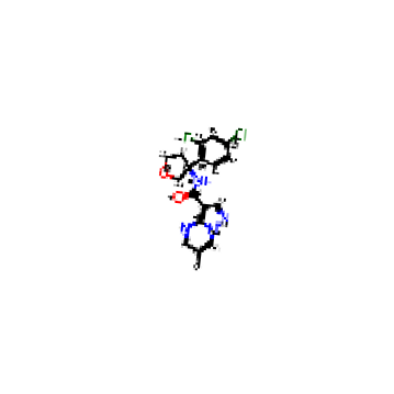 Cc1cnc2c(C(=O)NC3(c4ccc(Cl)cc4F)CCOC3)cnn2c1